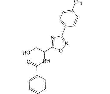 O=C(NC(CO)c1nc(-c2ccc(C(F)(F)F)cc2)no1)c1ccccc1